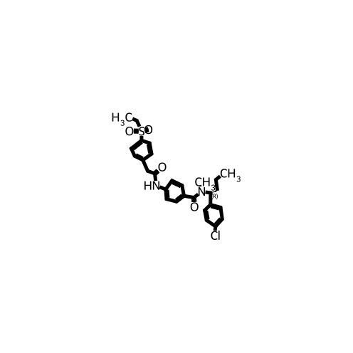 CCC[C@H](c1ccc(Cl)cc1)N(C)C(=O)c1ccc(NC(=O)Cc2ccc(S(=O)(=O)CC)cc2)cc1